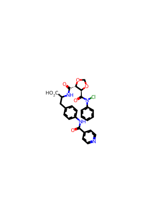 O=C(Nc1ccc(CC(NC(=O)[C@@H]2OCO[C@H]2C(=O)N(Cl)c2ccccc2)C(=O)O)cc1)c1ccncc1